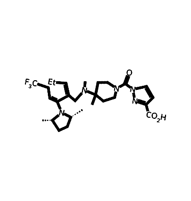 CC/C=C(CN(C)C1(C)CCN(C(=O)n2ccc(C(=O)O)n2)CC1)\C(=C/CC(F)(F)F)N1[C@H](C)CC[C@@H]1C